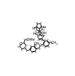 COCC1CN(Cc2ccc(COc3ccc(C)cc3-c3csc(N4C[C@@H]5CC[C@@H](C4)C5C(O)O)n3)c(C#N)c2)CCO1